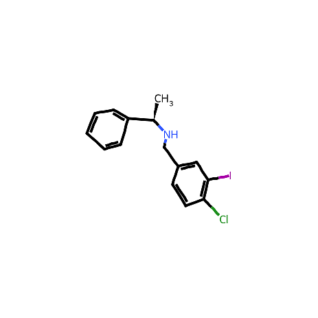 C[C@@H](NCc1ccc(Cl)c(I)c1)c1ccccc1